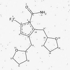 NC(=O)n1c(C(F)(F)F)cc(CC2CCCO2)c1CC1CCCO1